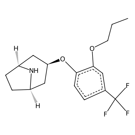 CCCOc1cc(C(F)(F)F)ccc1O[C@H]1C[C@H]2CC[C@@H](C1)N2